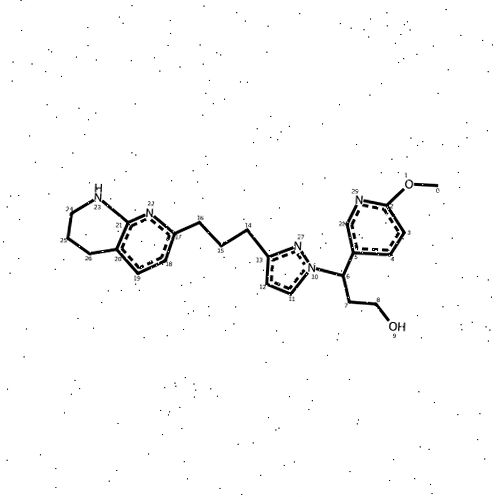 COc1ccc(C(CCO)n2ccc(CCCc3ccc4c(n3)NCCC4)n2)cn1